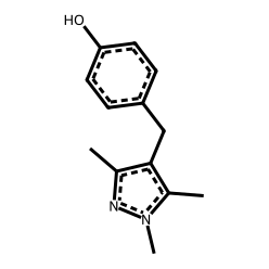 Cc1nn(C)c(C)c1Cc1ccc(O)cc1